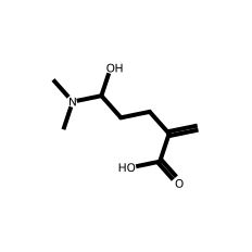 C=C(CCC(O)N(C)C)C(=O)O